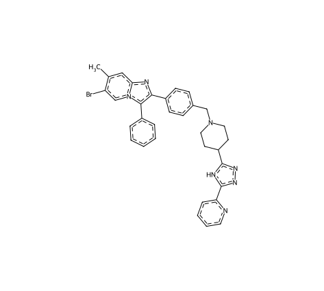 Cc1cc2nc(-c3ccc(CN4CCC(c5nnc(-c6ccccn6)[nH]5)CC4)cc3)c(-c3ccccc3)n2cc1Br